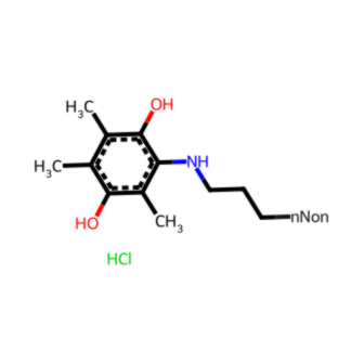 CCCCCCCCCCCCNc1c(C)c(O)c(C)c(C)c1O.Cl